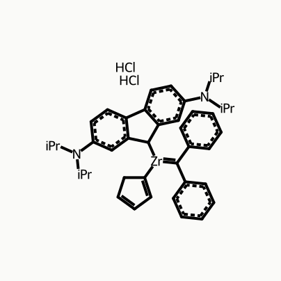 CC(C)N(c1ccc2c(c1)[CH]([Zr]([C]1=CC=CC1)=[C](c1ccccc1)c1ccccc1)c1cc(N(C(C)C)C(C)C)ccc1-2)C(C)C.Cl.Cl